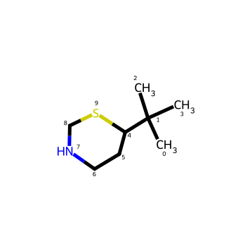 CC(C)(C)C1CCNCS1